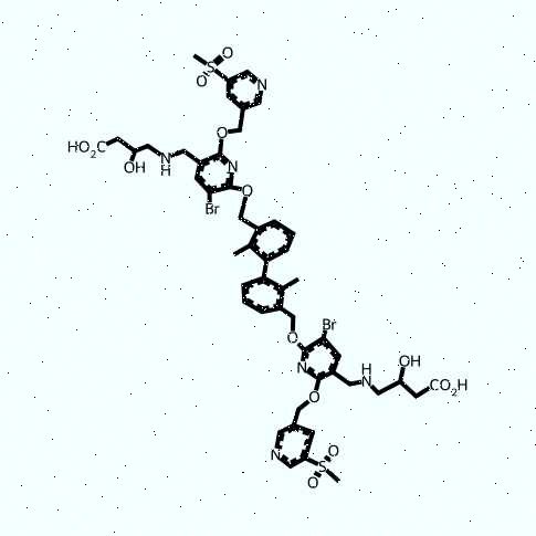 Cc1c(COc2nc(OCc3cncc(S(C)(=O)=O)c3)c(CNCC(O)CC(=O)O)cc2Br)cccc1-c1cccc(COc2nc(OCc3cncc(S(C)(=O)=O)c3)c(CNCC(O)CC(=O)O)cc2Br)c1C